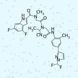 Cc1cc(-c2ccn(C(F)F)n2)ccc1NC(=O)CN(C(=O)CN(C)C(=O)c1cc2c(F)cc(F)cc2[nH]1)C(C)C#N